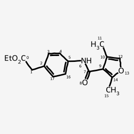 CCOC(=O)Cc1ccc(NC(=O)c2c(C)coc2C)cc1